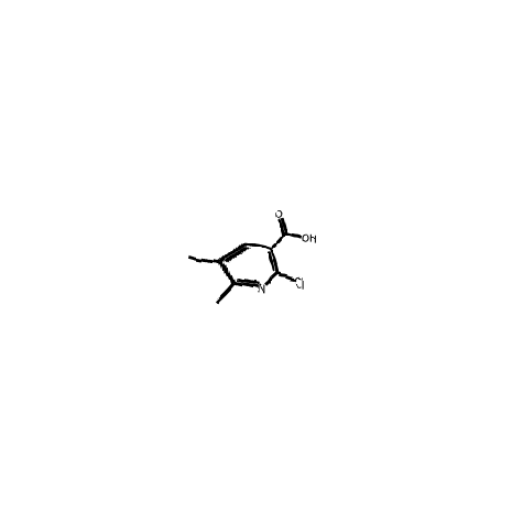 Cc1cc(C(=O)O)c(Cl)nc1C